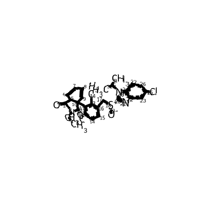 CON1C(=O)C2C=CC=CC2(c2c(C)ccc(C[S+]([O-])c3nc4cc(Cl)ccc4n3C(C)C)c2C)C1=O